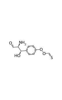 N[C@H](C=O)[C@H](O)c1ccc(OOC=S)cc1